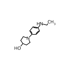 CCNc1ccc(N2CCC(O)CC2)cc1